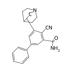 N#Cc1c(C(N)=O)cc(-c2ccccc2)cc1C1CN2CCC1CC2